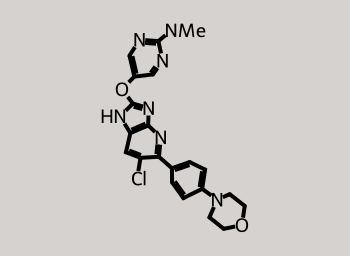 CNc1ncc(Oc2nc3nc(-c4ccc(N5CCOCC5)cc4)c(Cl)cc3[nH]2)cn1